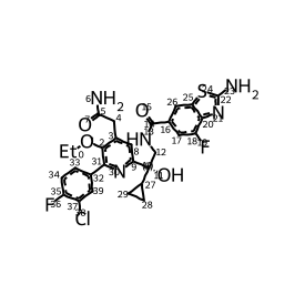 CCOc1c(CC(N)=O)cc([C@@](O)(CNC(=O)c2cc(F)c3nc(N)sc3c2)C2CC2)nc1-c1ccc(F)c(Cl)c1